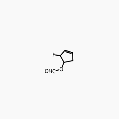 O=COC1CC=CC1F